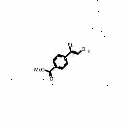 C/C=C(\CC)c1ccc(C(=O)OC)cc1